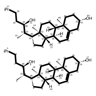 CC(C)CC[C@@H](O)[C@@H](C)[C@H]1CC[C@H]2[C@@H]3CC=C4C[C@@H](O)CC[C@]4(C)[C@H]3CC[C@]12C.CC(C)CC[C@@H](O)[C@@H](C)[C@H]1CC[C@H]2[C@@H]3CC=C4C[C@@H](O)CC[C@]4(C)[C@H]3CC[C@]12C